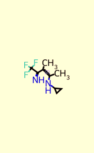 C/C(NC1CC1)=C(\C)C(=N)C(F)(F)F